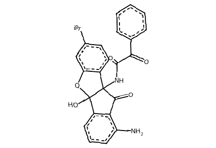 CC(C)c1ccc2c(c1)OC1(O)c3cccc(N)c3C(=O)C21NC(=O)C(=O)c1ccccc1